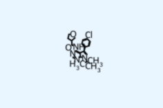 CC(C)(C)n1cc(-c2ccc(Cl)cc2)c2c(NC(=O)C3CCOC3)ncnc21